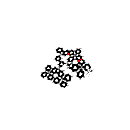 C#C/C=C\C(=C/C)S(c1ccccc1)(c1ccccc1)c1ccc2nc3n(-c4cc(-c5cccc(-n6c7ccccc7c7ccccc76)c5)cc(-n5c6ccc(S(c7ccccc7)(c7ccccc7)c7ccccc7)cc6c6cc(S(c7ccccc7)(c7ccccc7)c7ccccc7)ccc65)n4)c4ccc(S(c5ccccc5)(c5ccccc5)c5ccccc5)cc4n3c2c1